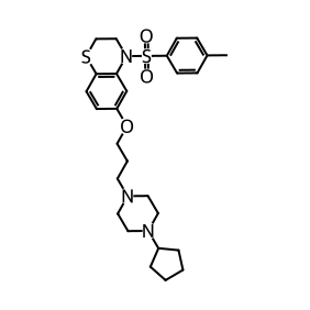 Cc1ccc(S(=O)(=O)N2CCSc3ccc(OCCCN4CCN(C5CCCC5)CC4)cc32)cc1